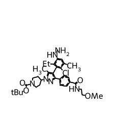 CCc1c(NN)cc(C)c(Cl)c1-c1c(-c2ccc(C(=O)NCCOC)cc2)nn(C2CCN(C(=O)OC(C)(C)C)CC2)c1C